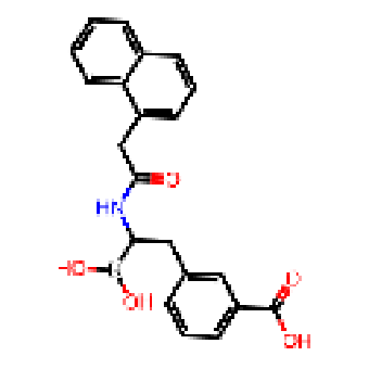 O=C(Cc1cccc2ccccc12)NC(Cc1cccc(C(=O)O)c1)B(O)O